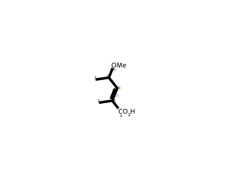 COC(C)/C=C(\C)C(=O)O